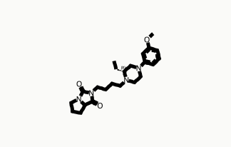 CC[C@@H]1CN(c2cccc(OC)c2)CCN1CCCCN1C(=O)C2CCCN2C1=O